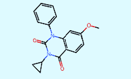 COc1ccc2c(=O)n(C3CC3)c(=O)n(-c3ccccc3)c2c1